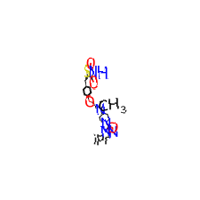 CC(C)c1noc(N2CCC(N(C)CCOc3ccc(C=C4SC(=O)NC4=O)cc3)CC2)n1